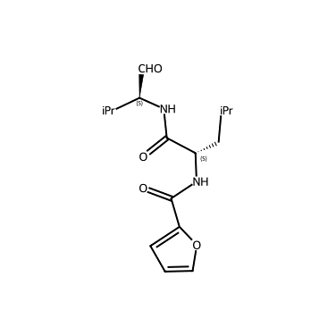 CC(C)C[C@H](NC(=O)c1ccco1)C(=O)N[C@H](C=O)C(C)C